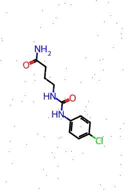 NC(=O)CCCNC(=O)Nc1ccc(Cl)cc1